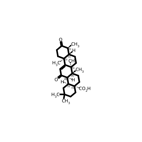 C[C@@H]1C(=O)CC[C@]2(C)C3=CC(=O)[C@@H]4[C@@H]5CC(C)(C)CC[C@]5(C(=O)O)CC[C@@]4(C)[C@]3(C)CC[C@@H]12